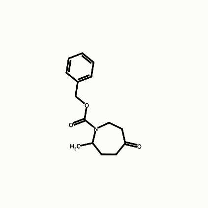 CC1CCC(=O)CCN1C(=O)OCc1ccccc1